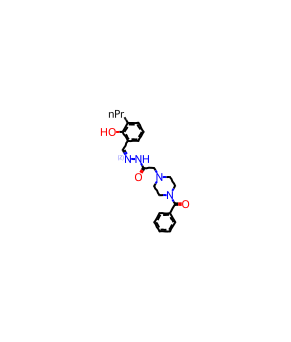 CCCc1cccc(/C=N\NC(=O)CN2CCN(C(=O)c3ccccc3)CC2)c1O